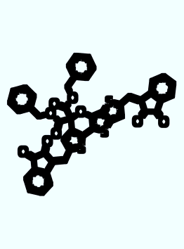 O=C1C(=O)c2ccccc2/C1=C/c1cc2c(s1)-c1sc3cc(/C=C4\C(=O)C(=O)c5ccccc54)sc3c1OC2(C(=O)OCc1ccccc1)C(=O)OCc1ccccc1